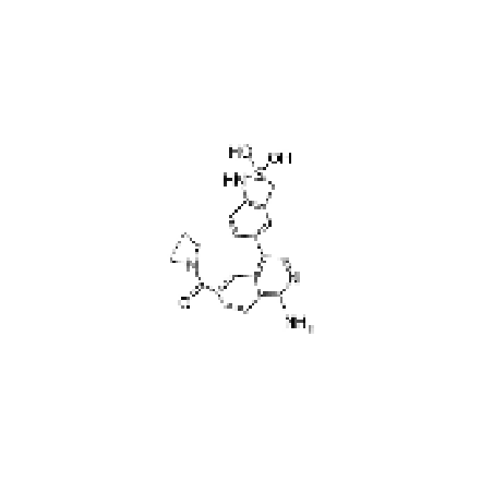 Nc1ncc(-c2ccc3c(c2)CS(O)(O)N3)c2cc(C(=O)N3CCC3)ccc12